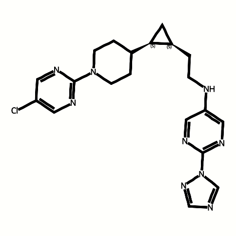 Clc1cnc(N2CCC([C@H]3C[C@H]3CCNc3cnc(-n4cncn4)nc3)CC2)nc1